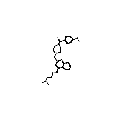 CSc1ccc(C(=O)N2CCN(Cc3nc(NCCCN(C)C)c4ccccc4n3)CC2)cc1